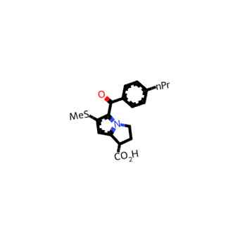 CCCc1ccc(C(=O)c2c(SC)cc3n2CCC3C(=O)O)cc1